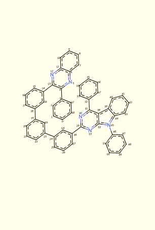 c1ccc(-c2nc3ccccc3nc2-c2cccc(-c3cccc(-c4cccc(-c5nc(-c6ccccc6)c6c7ccccc7n(-c7ccccc7)c6n5)c4)c3)c2)cc1